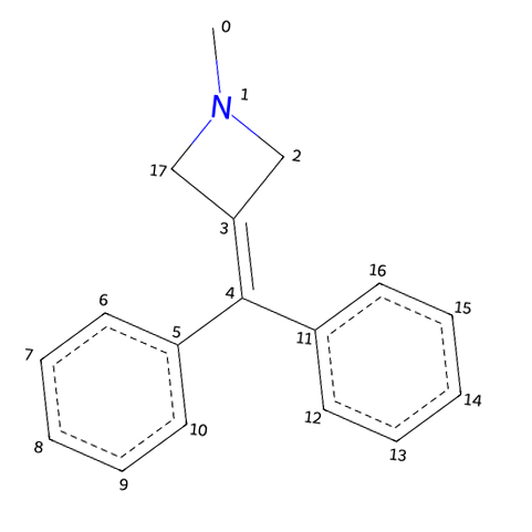 CN1CC(=C(c2ccccc2)c2ccccc2)C1